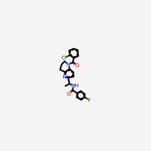 CC(NC(=O)c1ccc(F)cc1)c1ccc2c(n1)CCCN2C(=O)c1ccccc1Cl